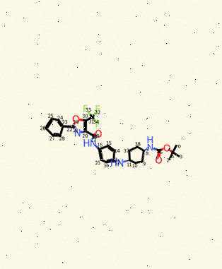 CC(C)(C)OC(=O)N[C@H]1CC[C@@H](Nc2ccc(NC(=O)c3nc(-c4ccccc4)oc3C(F)(F)F)cc2)CC1